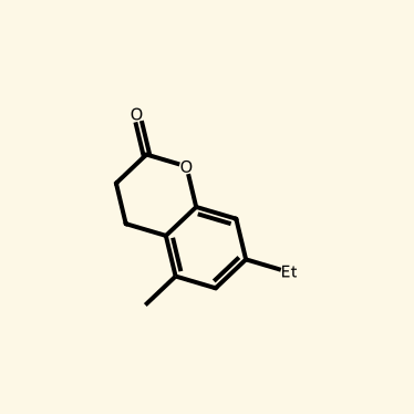 CCc1cc(C)c2c(c1)OC(=O)CC2